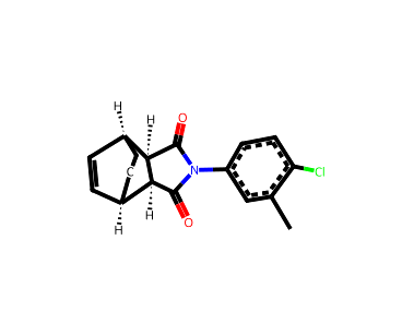 Cc1cc(N2C(=O)[C@@H]3[C@H](C2=O)[C@@H]2C=C[C@H]3CC2)ccc1Cl